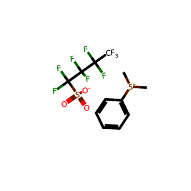 C[S+](C)c1ccccc1.O=S(=O)([O-])C(F)(F)C(F)(F)C(F)(F)C(F)(F)F